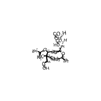 CC(C)C(=O)OC(C(C)C)C(C)(C)C.CC(C)C(=O)OC(C(C)C)C(C)(C)COO.O=C(O)O.O=C(O)O